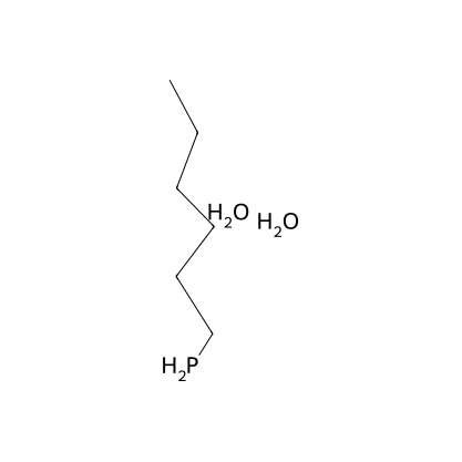 CCCCCCP.O.O